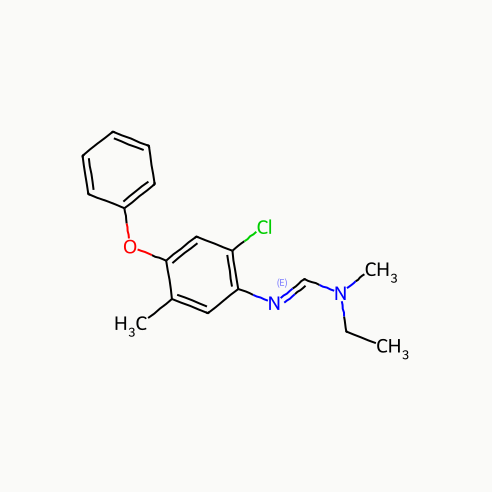 CCN(C)/C=N/c1cc(C)c(Oc2ccccc2)cc1Cl